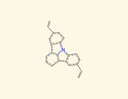 C=Cc1ccc2c(c1)c1cccc3c4cc(C=C)ccc4n2c13